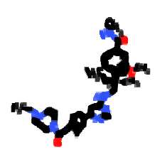 CC[C@](C)(CNc1cc(-c2ccc(C(=O)N3CCN(C)CC3)cc2)ncn1)c1ccc(C(=O)NC)cc1OC